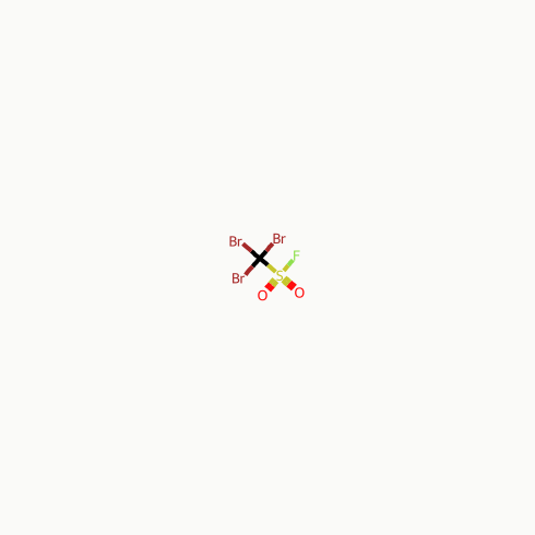 O=S(=O)(F)C(Br)(Br)Br